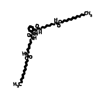 CCCCCCCCCCCCOC(=O)NCCCCCCNC(=O)N[C@@H]1CCCC[C@H]1NC(=O)NCCCCCCNC(=O)OCCCCCCCCCCCC